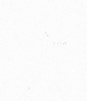 Cc1cc(F)ccc1C1CCCCCN1C(=O)O